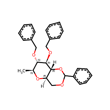 C[C@@H]1O[C@@H]2COC(c3ccccc3)O[C@H]2[C@H](OCc2ccccc2)[C@H]1OCc1ccccc1